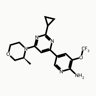 C[C@H]1COCCN1c1cc(-c2cnc(N)c(OC(F)(F)F)c2)nc(C2CC2)n1